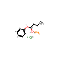 CCCC(OP)Oc1ccccc1.Cl